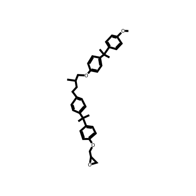 COc1ccc(C(C)(C)c2ccc(OCC(C)CCc3ccc(C(C)(C)c4ccc(OCC5CO5)cc4)cc3)cc2)cc1